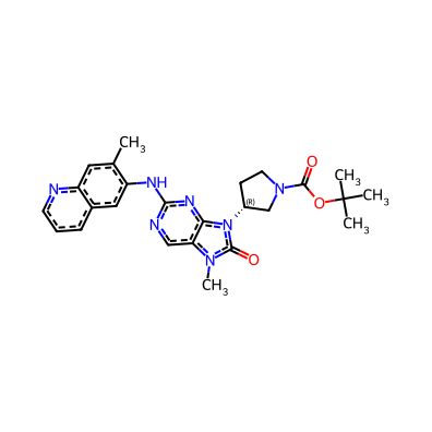 Cc1cc2ncccc2cc1Nc1ncc2c(n1)n([C@@H]1CCN(C(=O)OC(C)(C)C)C1)c(=O)n2C